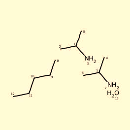 CC(C)N.CC(C)N.CCCCC.O